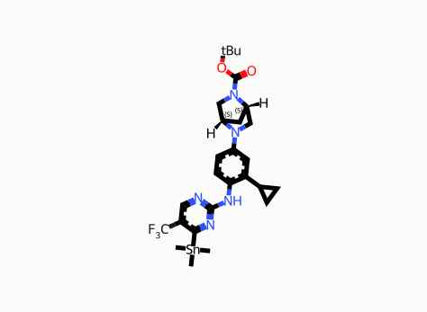 CC(C)(C)OC(=O)N1C[C@@H]2C[C@H]1CN2c1ccc(Nc2ncc(C(F)(F)F)[c]([Sn]([CH3])([CH3])[CH3])n2)c(C2CC2)c1